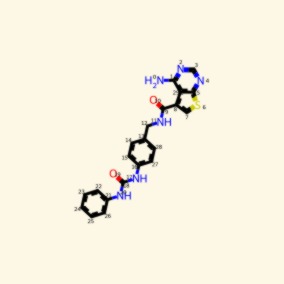 Nc1ncnc2scc(C(=O)NCc3ccc(NC(=O)Nc4ccccc4)cc3)c12